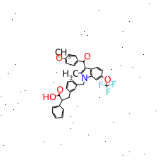 COc1ccc(C(=O)c2c(C)n(Cc3cccc(CC(C(=O)O)c4ccccc4)c3)c3cc(OC(F)(F)F)ccc23)cc1